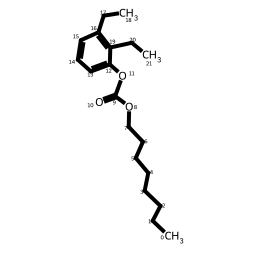 CCCCCCCCOC(=O)Oc1cccc(CC)c1CC